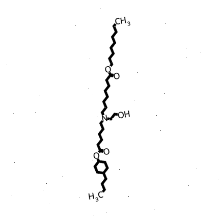 CCCCCCCCCOC(=O)CCCCCCCN(CCO)CCCCCC(=O)OC1CCC(CCCC)CC1